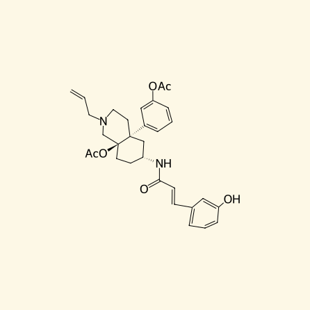 C=CCN1CC[C@@]2(c3cccc(OC(C)=O)c3)C[C@H](NC(=O)C=Cc3cccc(O)c3)CC[C@]2(OC(C)=O)C1